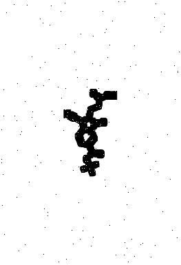 CC(C)(C)OC(=O)c1ccc2c(C#N)n(CCC(=O)O)c(=O)n2c1